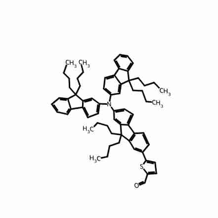 CCCCC1(CCCC)c2ccccc2-c2ccc(N(c3ccc4c(c3)C(CCCC)(CCCC)c3ccccc3-4)c3ccc4c(c3)C(CCCC)(CCCC)c3cc(-c5ccc(C=O)s5)ccc3-4)cc21